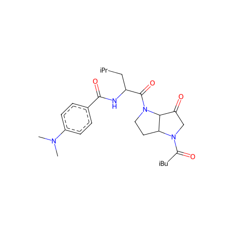 CCC(C)C(=O)N1CC(=O)C2C1CCN2C(=O)C(CC(C)C)NC(=O)c1ccc(N(C)C)cc1